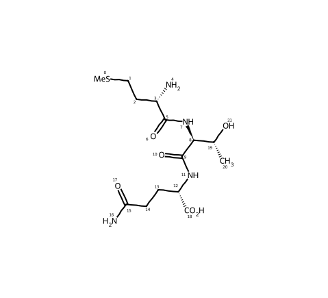 CSCC[C@H](N)C(=O)N[C@H](C(=O)N[C@@H](CCC(N)=O)C(=O)O)[C@@H](C)O